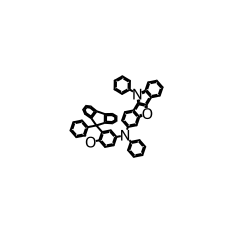 c1ccc(N(c2ccc3c(c2)C2(c4ccccc4O3)c3ccccc3-c3ccccc32)c2ccc3c(c2)oc2c4ccccc4n(-c4ccccc4)c32)cc1